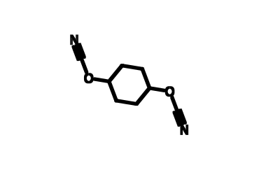 N#COC1CCC(OC#N)CC1